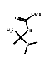 COC(=O)NC(C)([SiH3])N(C)C